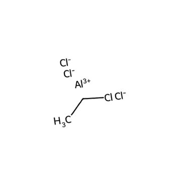 CCCl.[Al+3].[Cl-].[Cl-].[Cl-]